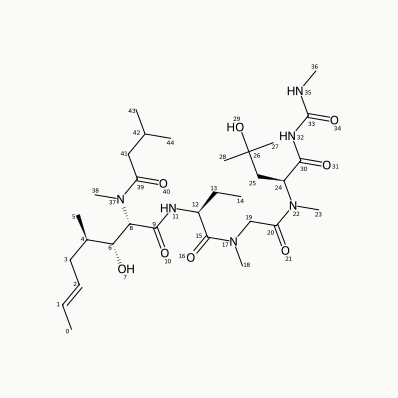 C/C=C/C[C@@H](C)[C@@H](O)[C@@H](C(=O)N[C@@H](CC)C(=O)N(C)CC(=O)N(C)[C@@H](CC(C)(C)O)C(=O)NC(=O)NC)N(C)C(=O)CC(C)C